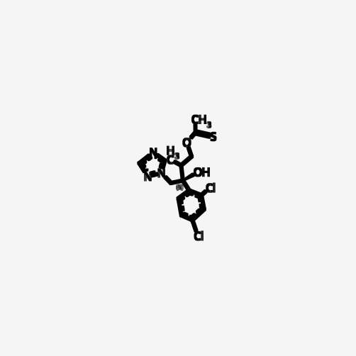 CC(=S)OCC(C)[C@@](O)(Cn1cncn1)c1ccc(Cl)cc1Cl